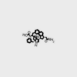 NC(=O)C[C@H]1C[C@@H](C2=CN[C@@](Cc3ccccc3)(CC(O)C(Cc3ccccc3)NC(=O)O)C2=O)c2ccccc21